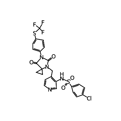 O=C1N(c2ccc(SC(F)(F)F)cc2)C(=O)C2(CC2)N1Cc1ccncc1NS(=O)(=O)c1ccc(Cl)cc1